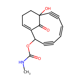 CNC(=O)OC1C#C/C=C\C#CC2(O)CCC=C1C2=O